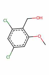 COc1cc(Cl)cc(Cl)c1CO